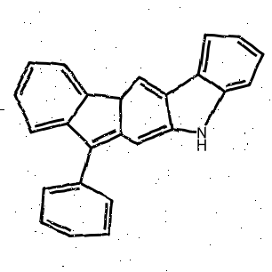 C1=c2[nH]c3ccccc3c2=CC2C1=C(c1ccccc1)c1ccccc12